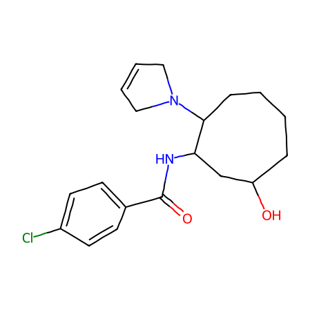 O=C(NC1CC(O)CCCCC1N1CC=CC1)c1ccc(Cl)cc1